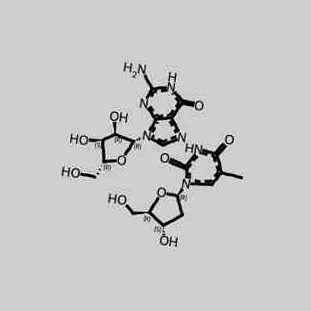 Cc1cn([C@H]2C[C@H](O)[C@@H](CO)O2)c(=O)[nH]c1=O.Nc1nc2c(ncn2[C@@H]2O[C@H](CO)[C@@H](O)[C@H]2O)c(=O)[nH]1